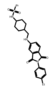 CCc1ccc(N2C(=O)c3ccc(NCC4CCC(NS(=O)(=O)C(C)C)CC4)cc3C2=O)cc1